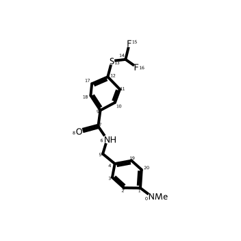 CNc1ccc(CNC(=O)c2ccc(SC(F)F)cc2)cc1